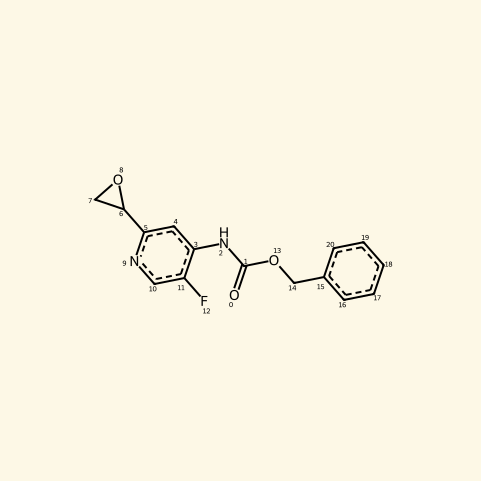 O=C(Nc1cc(C2CO2)ncc1F)OCc1ccccc1